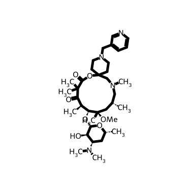 CO[C@]1(C)C[C@@H](C)CN(C)CC2(CCN(Cc3cccnc3)CC2)OC(=O)C(C)(C)C(=O)[C@H](C)[C@H]1O[C@@H]1O[C@H](C)C[C@H](N(C)C)[C@H]1O